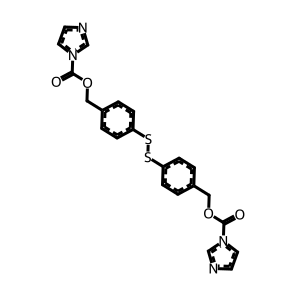 O=C(OCc1ccc(SSc2ccc(COC(=O)n3ccnc3)cc2)cc1)n1ccnc1